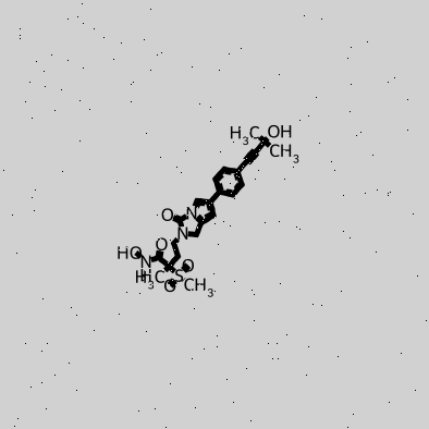 CC(C)(O)C#Cc1ccc(-c2cc3n(c2)C(=O)N(CCC(C)(C(=O)NO)S(C)(=O)=O)C3)cc1